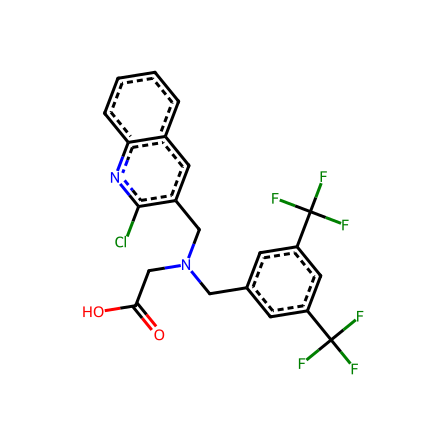 O=C(O)CN(Cc1cc(C(F)(F)F)cc(C(F)(F)F)c1)Cc1cc2ccccc2nc1Cl